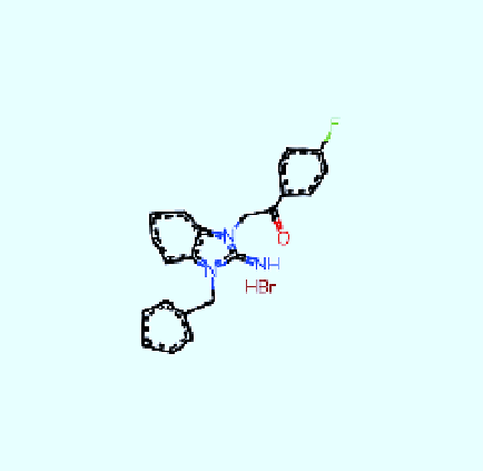 Br.N=c1n(CC(=O)c2ccc(F)cc2)c2ccccc2n1Cc1ccccc1